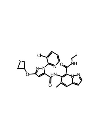 CCNC(=O)c1c(NC(=O)c2cc(OC3CSC3)nn2-c2ncccc2Cl)c(C)cc2ccnn12